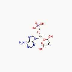 C[C@H](Cn1cnc2c(N)ncnc21)OCP(=O)(O)O.O=C(O)/C=C\C(=O)O